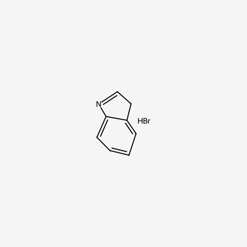 Br.C1=Nc2ccccc2C1